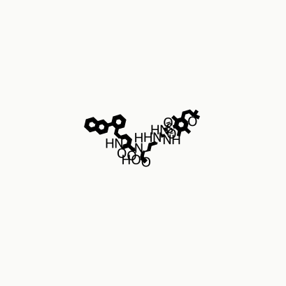 Cc1c(C)c(S(=O)(=O)NC(=N)NCCC[C@H](NC(=O)c2ccc(Cc3ccccc3-c3ccc4ccccc4c3)[nH]c2=O)C(=O)O)c(C)c2c1OC(C)(C)CC2